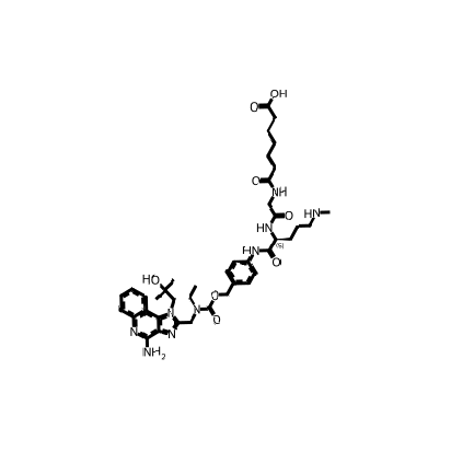 CCN(Cc1nc2c(N)nc3ccccc3c2n1CC(C)(C)O)C(=O)OCc1ccc(NC(=O)[C@H](CCCNC)NC(=O)CNC(=O)CCCCCC(=O)O)cc1